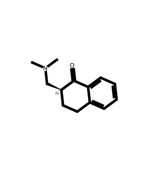 CN(C)C[C@@H]1CCc2ccccc2C1=O